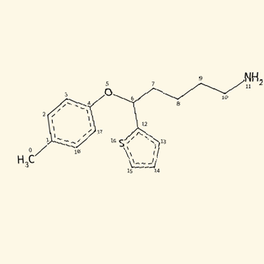 Cc1ccc(OC(CCCCN)c2cccs2)cc1